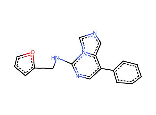 c1ccc(-c2cnc(NCc3ccco3)n3cncc23)cc1